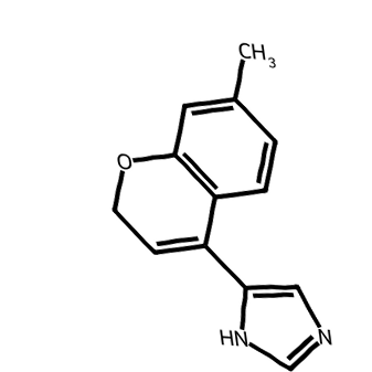 Cc1ccc2c(c1)OCC=C2c1cnc[nH]1